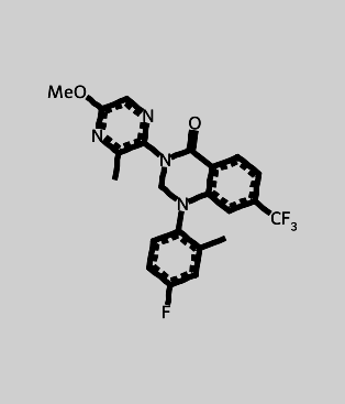 COc1cnc(N2CN(c3ccc(F)cc3C)c3cc(C(F)(F)F)ccc3C2=O)c(C)n1